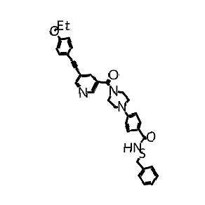 CCOc1ccc(C#Cc2cncc(C(=O)N3CCN(c4ccc(C(=O)NSCc5ccccc5)cc4)CC3)c2)cc1